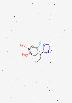 Oc1cc(F)c2c(c1O)CCCC2C1=NCCN1